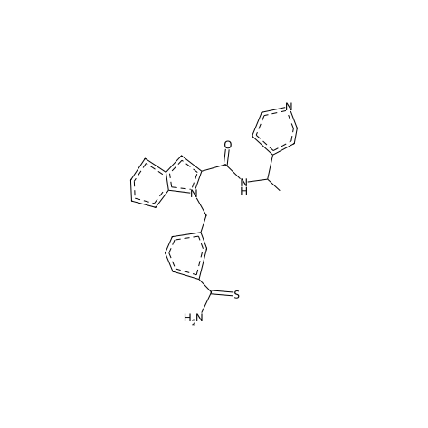 CC(NC(=O)c1cc2ccccc2n1Cc1cccc(C(N)=S)c1)c1ccncc1